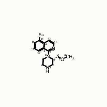 COC[C@@H]1CNCCN1c1nccc2c(F)cccc12